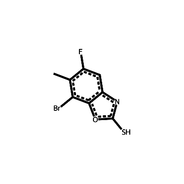 Cc1c(F)cc2nc(S)oc2c1Br